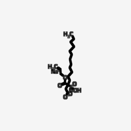 C=CCOC(=O)C(CCCCCCCCCCCC)(CC(=O)[O-])S(=O)(=O)O.[Na+]